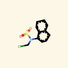 O=[SH](=O)N(CCl)c1cccc2ccccc12